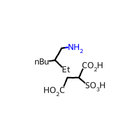 CCCCC(CC)CN.O=C(O)CC(C(=O)O)S(=O)(=O)O